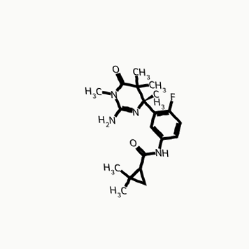 CN1C(=O)C(C)(C)[C@](C)(c2cc(NC(=O)C3CC3(C)C)ccc2F)N=C1N